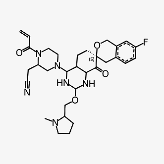 C=CC(=O)N1CCN(C2NC(OCC3CCCN3C)NC3C(=O)[C@]4(CCC32)Cc2ccc(F)cc2CO4)CC1CC#N